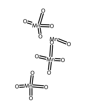 [O]=[Mn].[O]=[Mn](=[O])(=[O])=[O].[O]=[Mn](=[O])(=[O])=[O].[O]=[Mn](=[O])(=[O])=[O]